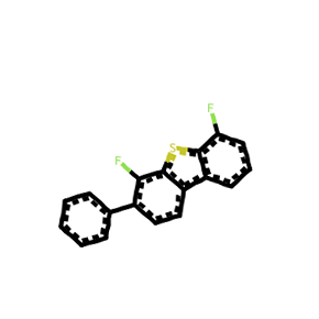 Fc1cccc2c1sc1c(F)c(-c3ccccc3)ccc12